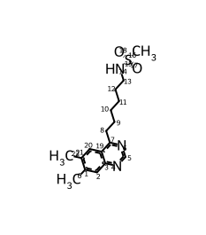 Cc1cc2ncnc(CCCCCCNS(C)(=O)=O)c2cc1C